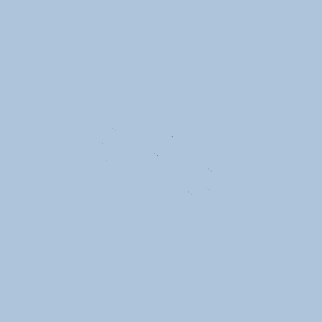 CC(c1ccccc1C(F)(F)F)n1nnc2c1C[C@@H](C)N(c1cnn(C3CCCCO3)c(=O)c1Cl)C2